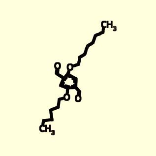 CCCCCCCCOc1cc(C=O)c(OCCCCCC)cc1C=O